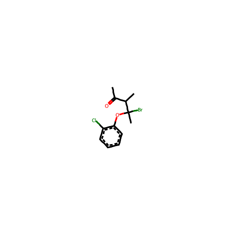 CC(=O)C(C)C(C)(Br)Oc1ccccc1Cl